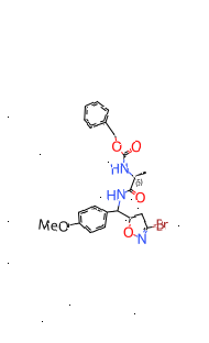 COc1ccc(C(NC(=O)[C@H](C)NC(=O)OCc2ccccc2)C2CC(Br)=NO2)cc1